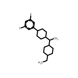 CCC1CCC(C(C)C2CCC(c3cc(F)cc(F)c3)CC2)CC1